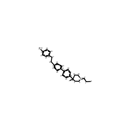 CCC[SiH]1CCC(C)(c2ccc(-c3ccc(CCc4ccc(F)cc4)cc3)cc2)CC1